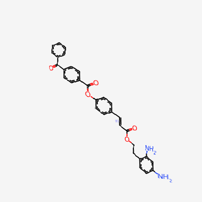 Nc1ccc(CCOC(=O)/C=C/c2ccc(OC(=O)c3ccc(C(=O)c4ccccc4)cc3)cc2)c(N)c1